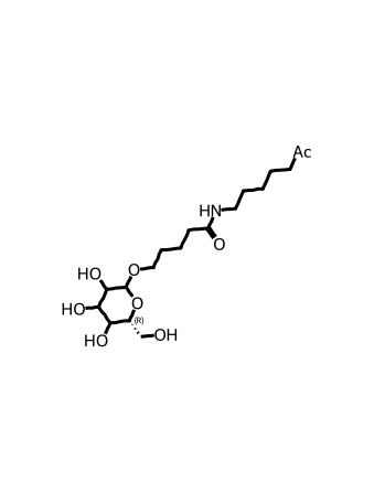 CC(=O)CCCCCNC(=O)CCCCOC1O[C@H](CO)C(O)C(O)C1O